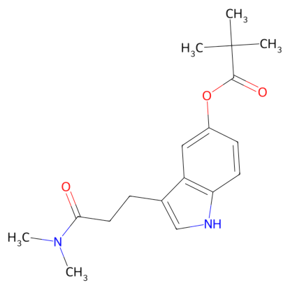 CN(C)C(=O)CCc1c[nH]c2ccc(OC(=O)C(C)(C)C)cc12